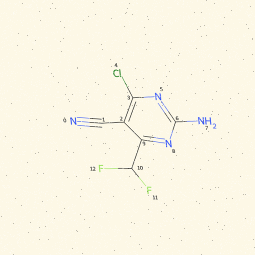 N#Cc1c(Cl)nc(N)nc1C(F)F